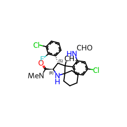 CNC(=O)[C@@H]1NC2(CCCCC2)C(C)(c2ccc(Cl)cc2NC=O)[C@H]1c1cccc(Cl)c1F